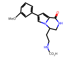 COc1cccc(-c2cc3n(c2)C(CCNC(=O)O)CNC3=O)c1